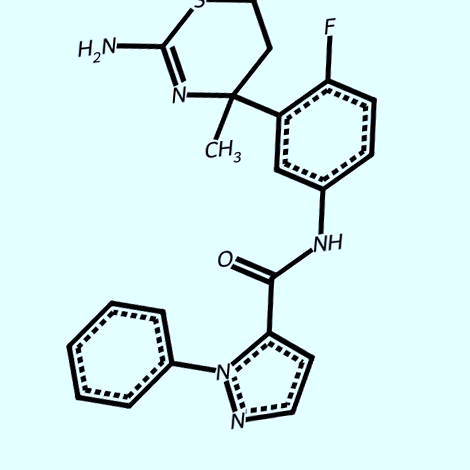 CC1(c2cc(NC(=O)c3ccnn3-c3ccccc3)ccc2F)CCSC(N)=N1